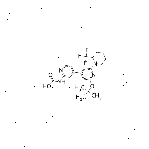 CC(C)(C)Oc1cc(-c2ccnc(NC(=O)O)c2)cc(N2CCCCC2C(F)(F)F)n1